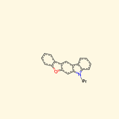 CC(C)n1c2ccccc2c2cc3c(cc21)oc1ccccc13